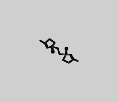 CC1=CP(=O)(CCP2(=O)C=C(C)CC2)CC1